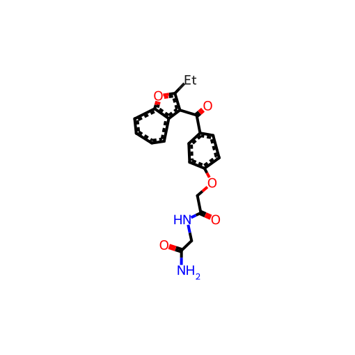 CCc1oc2ccccc2c1C(=O)c1ccc(OCC(=O)NCC(N)=O)cc1